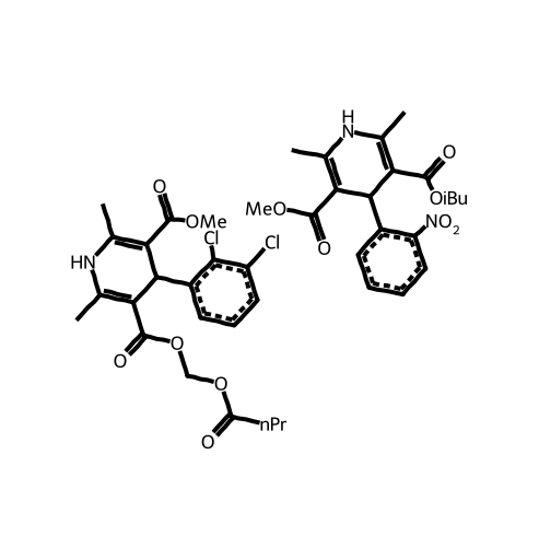 CCCC(=O)OCOC(=O)C1=C(C)NC(C)=C(C(=O)OC)C1c1cccc(Cl)c1Cl.COC(=O)C1=C(C)NC(C)=C(C(=O)OCC(C)C)C1c1ccccc1[N+](=O)[O-]